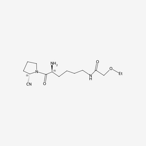 CCOCC(=O)NCCCC[C@H](N)C(=O)N1CCC[C@H]1C#N